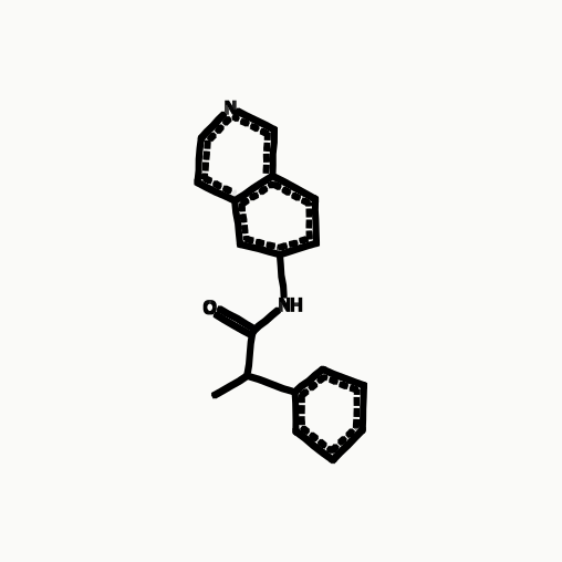 CC(C(=O)Nc1ccc2cnccc2c1)c1ccccc1